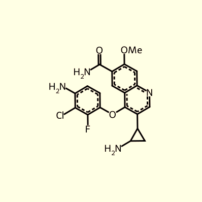 COc1cc2ncc(C3CC3N)c(Oc3ccc(N)c(Cl)c3F)c2cc1C(N)=O